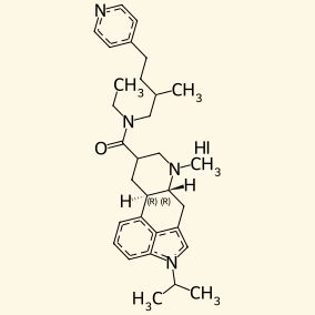 CCN(CC(C)CCc1ccncc1)C(=O)C1C[C@@H]2c3cccc4c3c(cn4C(C)C)C[C@H]2N(C)C1.I